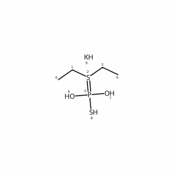 CCS(CC)=P(O)(O)S.[KH]